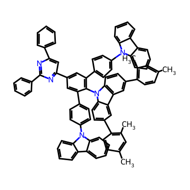 Cc1ccc(-c2ccc3c(c2)c2cc(-c4ccc(C)cc4C)ccc2n3-c2c(-c3ccc(-n4c5ccccc5c5ccccc54)cc3)cc(-c3cc(-c4ccccc4)nc(-c4ccccc4)n3)cc2-c2ccc(-n3c4ccccc4c4ccccc43)cc2)c(C)c1